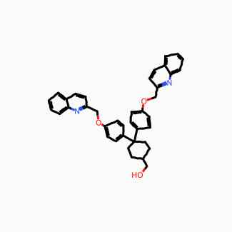 OCC1CCC(c2ccc(OCc3ccc4ccccc4n3)cc2)(c2ccc(OCc3ccc4ccccc4n3)cc2)CC1